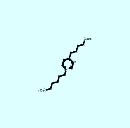 CCCCCCCCCCCCCCC[n+]1ccc(CCCCCCCCCCCCCC)cc1